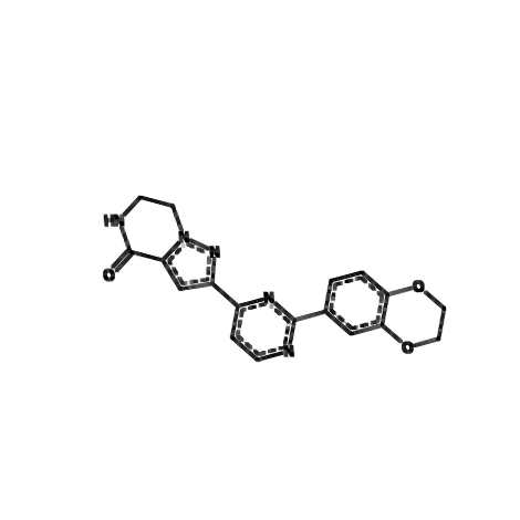 O=C1NCCn2nc(-c3ccnc(-c4ccc5c(c4)OCCO5)n3)cc21